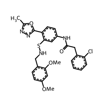 COc1ccc(CNSc2cc(NC(=O)Cc3ccccc3Cl)ccc2-c2nnc(C)o2)c(OC)c1